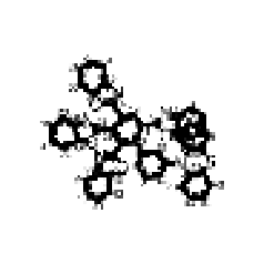 c1cc(-c2c(-c3nc4ccccc4o3)cc(-c3nc4ccccc4o3)c(-c3nc4ccccc4o3)c2-c2nc3ccccc3o2)cc(N2c3ccccc3Sc3ccccc32)c1